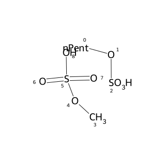 CCCCCOS(=O)(=O)O.COS(=O)(=O)O